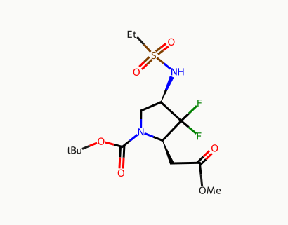 CCS(=O)(=O)N[C@@H]1CN(C(=O)OC(C)(C)C)[C@H](CC(=O)OC)C1(F)F